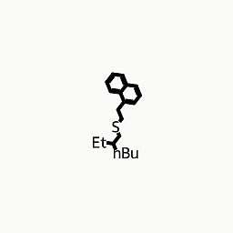 CCCCC(CC)CSCCc1cccc2ccccc12